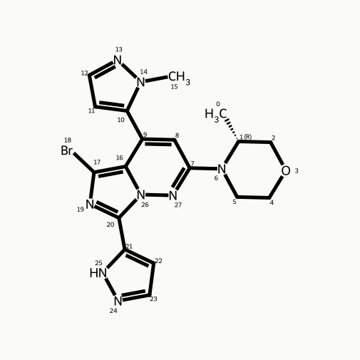 C[C@@H]1COCCN1c1cc(-c2ccnn2C)c2c(Br)nc(-c3ccn[nH]3)n2n1